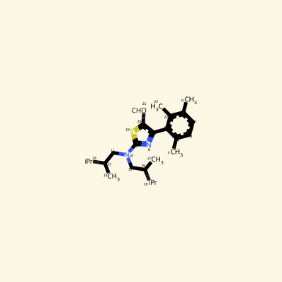 Cc1ccc(C)c(-c2nc(N(CC(C)C(C)C)CC(C)C(C)C)sc2C=O)c1C